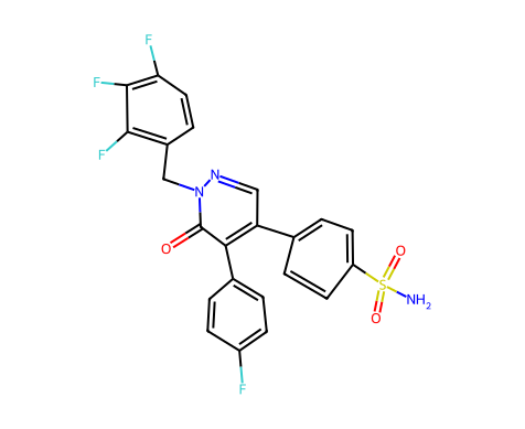 NS(=O)(=O)c1ccc(-c2cnn(Cc3ccc(F)c(F)c3F)c(=O)c2-c2ccc(F)cc2)cc1